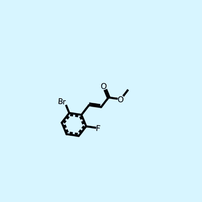 COC(=O)/C=C/c1c(F)cccc1Br